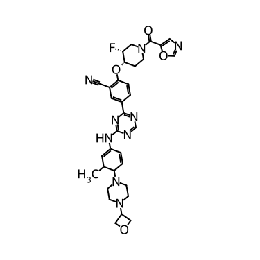 CC1C=C(Nc2ncnc(-c3ccc(O[C@H]4CCN(C(=O)c5cnco5)C[C@H]4F)c(C#N)c3)n2)C=CC1N1CCN(C2COC2)CC1